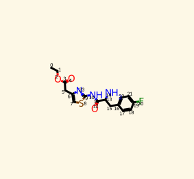 CCOC(=O)Cc1csc(NC(=O)C(N)Cc2ccc(F)cc2)n1